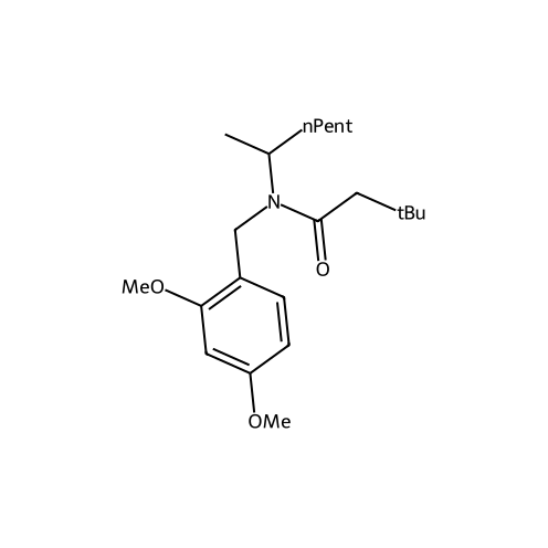 CCCCCC(C)N(Cc1ccc(OC)cc1OC)C(=O)CC(C)(C)C